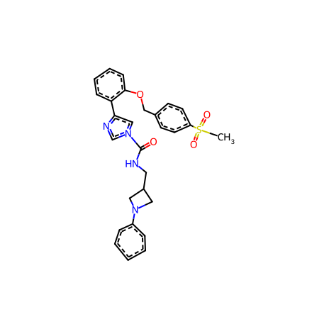 CS(=O)(=O)c1ccc(COc2ccccc2-c2cn(C(=O)NCC3CN(c4ccccc4)C3)cn2)cc1